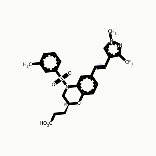 Cc1cccc(S(=O)(=O)N2C[C@H](CCC(=O)O)Oc3ccc(/C=C/c4cn(C)nc4C(F)(F)F)cc32)c1